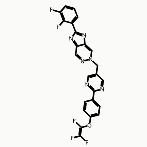 FC(F)=C(F)Oc1ccc(-c2ncc(Cn3cc4nc(-c5cccc(F)c5F)nc-4cn3)cn2)cc1